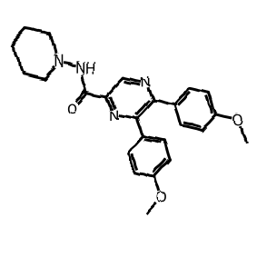 COc1ccc(-c2ncc(C(=O)NN3CCCCC3)nc2-c2ccc(OC)cc2)cc1